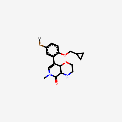 CCSc1ccc(OCC2CC2)c(C2=CN(C)C(=O)C3NCCOC23)c1